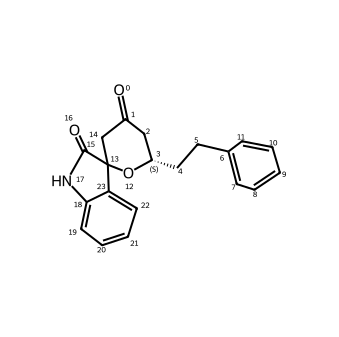 O=C1C[C@H](CCc2ccccc2)OC2(C1)C(=O)Nc1ccccc12